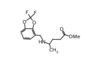 COC(=O)CCC(C)NCc1cccc2c1OC(F)(F)O2